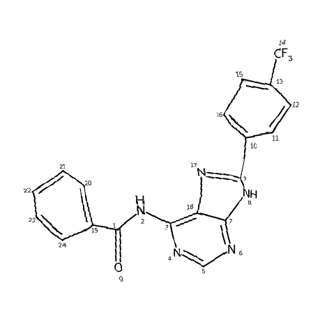 O=C(Nc1ncnc2[nH]c(-c3ccc(C(F)(F)F)cc3)nc12)c1ccccc1